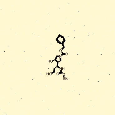 CC(C)(C)OC(=O)N[C@@H](CCO)[C@@H]1CN(C(=O)OCc2ccccc2)C[C@@H]1O